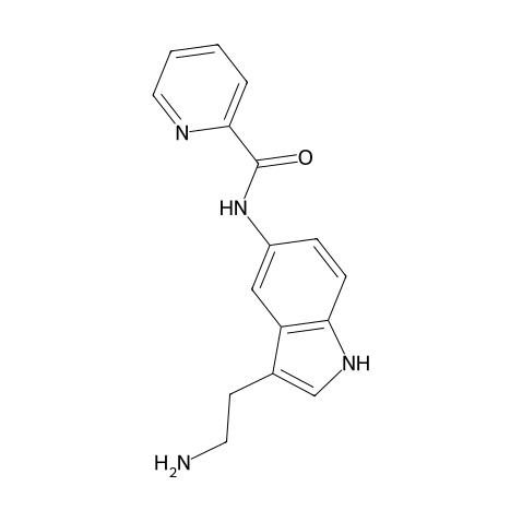 NCCc1c[nH]c2ccc(NC(=O)c3ccccn3)cc12